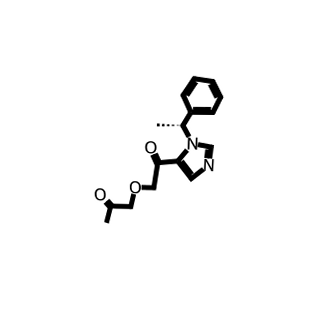 CC(=O)COCC(=O)c1cncn1[C@H](C)c1ccccc1